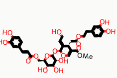 COC(=O)C1=CO[C@@H](O[C@@H]2O[C@H](COC(=O)/C=C/c3ccc(O)c(O)c3)[C@@H](O)[C@H](O)[C@H]2O)/C(=C/CO)[C@@H]1CC(=O)OCCc1ccc(O)c(O)c1